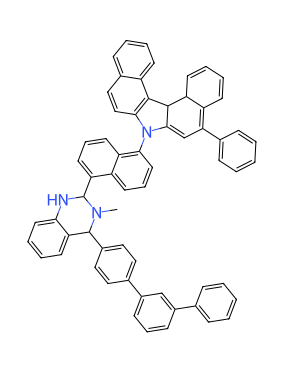 CN1C(c2cccc3c(N4C5=CC(c6ccccc6)=C6C=CC=CC6C5c5c4ccc4ccccc54)cccc23)Nc2ccccc2C1c1ccc(-c2cccc(-c3ccccc3)c2)cc1